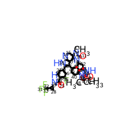 COC(=O)N[C@@H]1CC[C@@H](n2c(=O)n(C)c3cnc4[nH]c(-c5ccc(C(=O)NC6CC6C(F)(F)F)c(F)c5)c(-c5ccc6c(cnn6C(C)C)c5)c4c32)C1